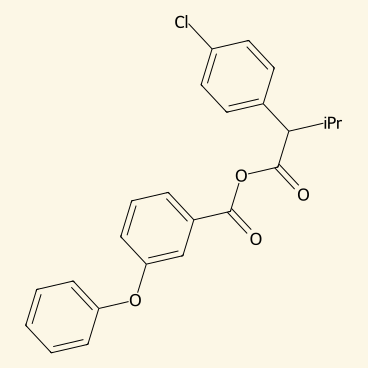 CC(C)C(C(=O)OC(=O)c1cccc(Oc2ccccc2)c1)c1ccc(Cl)cc1